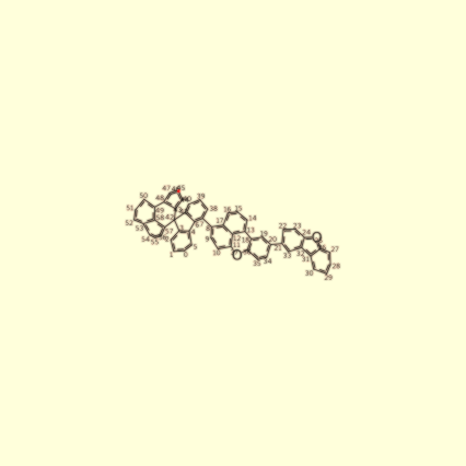 c1ccc2c(c1)-c1c(-c3ccc4c5c(cccc35)-c3cc(-c5ccc6oc7ccccc7c6c5)ccc3O4)cccc1C21c2ccccc2-c2cccc3cccc1c23